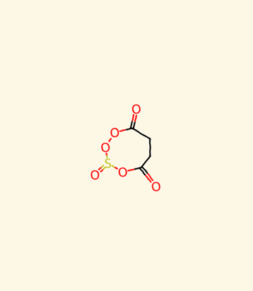 O=C1CCC(=O)OS(=O)OO1